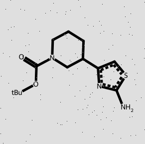 CC(C)(C)OC(=O)N1CCCC(c2csc(N)n2)C1